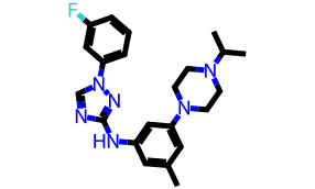 Cc1cc(Nc2ncn(-c3cccc(F)c3)n2)cc(N2CCN(C(C)C)CC2)c1